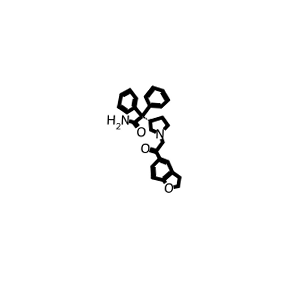 NC(=O)C(c1ccccc1)(c1ccccc1)[C@@H]1CCN(CC(=O)c2ccc3c(c2)CCO3)C1